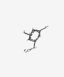 [CH2]c1cc(F)cc(SC(F)(F)F)c1